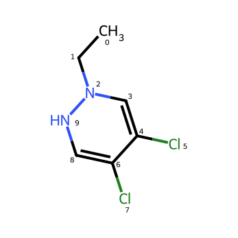 CCN1C=C(Cl)C(Cl)=CN1